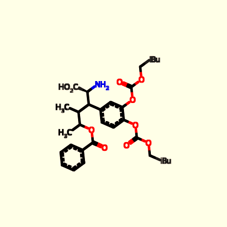 CCC(C)COC(=O)Oc1ccc(C(C(C)C(C)OC(=O)c2ccccc2)[C@H](N)C(=O)O)cc1OC(=O)OCC(C)CC